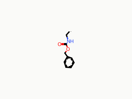 [CH2]CNC(=O)OCc1ccccc1